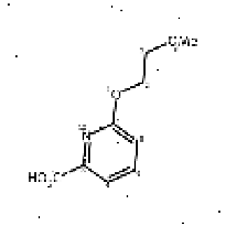 COCCOc1cccc(C(=O)O)n1